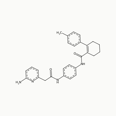 Cc1ccc(C2=C(C(=O)Nc3ccc(NC(=O)Cc4cccc(N)n4)cc3)CCCC2)cc1